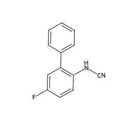 N#CNc1ccc(F)cc1-c1ccccc1